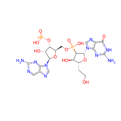 Nc1ncc2ncn([C@@H]3O[C@H](COP(=O)(O)[C@@H]4[C@H](O)[C@@H](CCO)O[C@H]4n4cnc5c(=O)[nH]c(N)nc54)[C@@H](O[PH](=O)O)[C@H]3O)c2n1